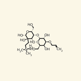 C=CCO[C@H]1[C@@H](O)[C@@H](CO)O[C@H](O[C@H]2[C@@H](CO)O[C@@H](O)[C@@](O)(CC[Si](C)(C)C)[C@H]2O)[C@@H]1O